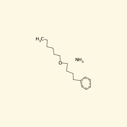 CCCCCCOCCCCc1ccccc1.N